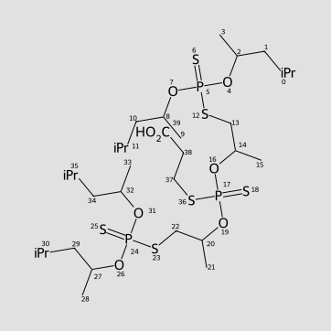 CC(C)CC(C)OP(=S)(OC(C)CC(C)C)SCC(C)OP(=S)(OC(C)CSP(=S)(OC(C)CC(C)C)OC(C)CC(C)C)SCCC(=O)O